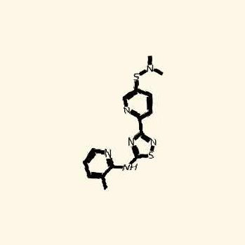 Cc1cccnc1Nc1nc(-c2ccc(SN(C)C)cn2)ns1